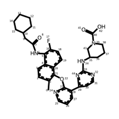 Cc1ccc2c(NC(=O)CC3CCCCC3)c(F)ccc2c1Oc1ncccc1-c1ccnc(NC2CCCN(C(=O)O)C2)n1